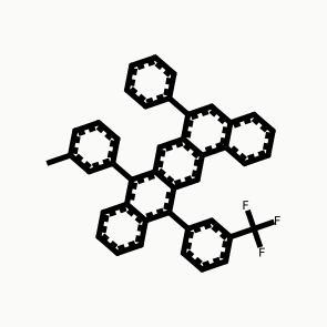 Cc1cccc(-c2c3ccccc3c(-c3cccc(C(F)(F)F)c3)c3cc4c(cc23)c(-c2ccccc2)cc2ccccc24)c1